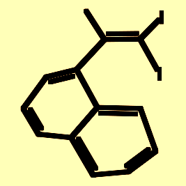 CC(=C(I)I)c1cccc2ccccc12